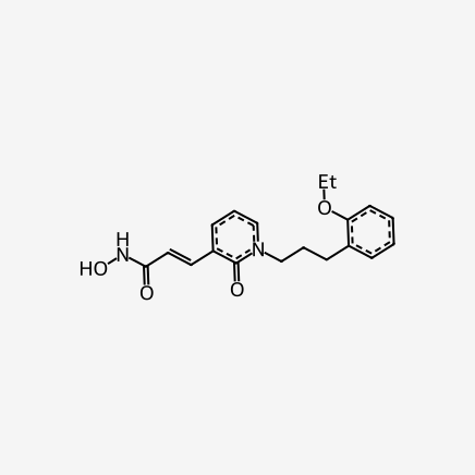 CCOc1ccccc1CCCn1cccc(/C=C/C(=O)NO)c1=O